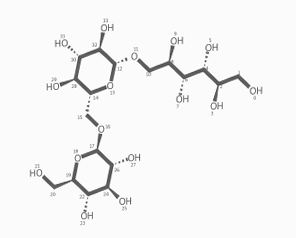 OC[C@@H](O)[C@@H](O)[C@H](O)[C@H](O)CO[C@@H]1O[C@H](CO[C@@H]2O[C@H](CO)[C@@H](O)[C@H](O)[C@H]2O)[C@@H](O)[C@H](O)[C@H]1O